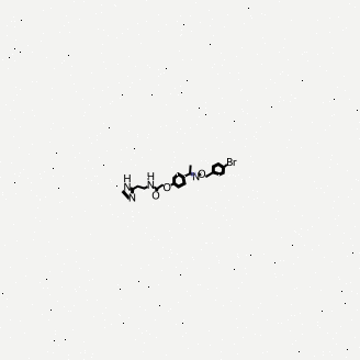 C/C(=N\OCc1ccc(Br)cc1)c1ccc(OCC(=O)NCCc2ncc[nH]2)cc1